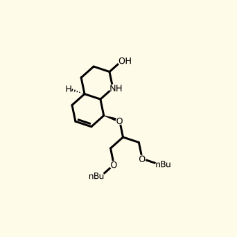 CCCCOCC(COCCCC)O[C@H]1C=CC[C@H]2CCC(O)NC21